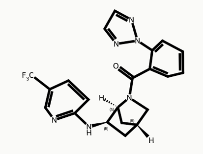 O=C(c1ccccc1-n1nccn1)N1C[C@@H]2C[C@@H](Nc3ccc(C(F)(F)F)cn3)[C@@H]1C2